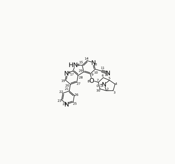 CN1C2CCC1CC(Oc1c(C#N)ncc3[nH]c4ncc(-c5ccncc5)cc4c13)C2